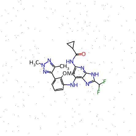 COc1c(Nc2cc(NC(=O)C3CC3)nc3[nH]c(C(F)F)nc23)cccc1-c1nn(C)nc1C